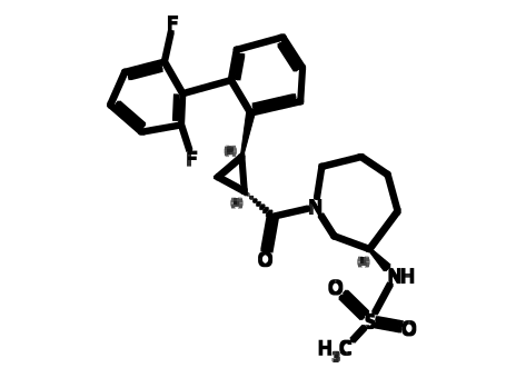 CS(=O)(=O)N[C@@H]1CCCCN(C(=O)[C@@H]2C[C@H]2c2ccccc2-c2c(F)cccc2F)C1